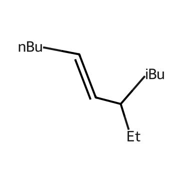 CCCCC=CC(CC)C(C)CC